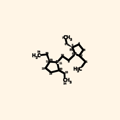 CCC1CC[C@@H](CC)P1CCP1C(CC)CC[C@H]1CC